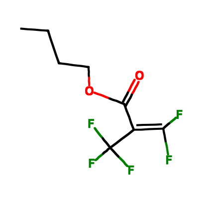 CCCCOC(=O)C(=C(F)F)C(F)(F)F